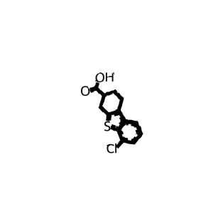 O=C(O)C1CCc2c(sc3c(Cl)cccc23)C1